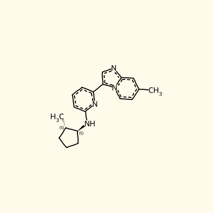 Cc1ccn2c(-c3cccc(N[C@H]4CCC[C@@H]4C)n3)cnc2c1